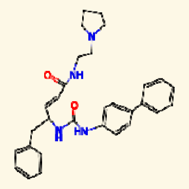 O=C(/C=C/C(Cc1ccccc1)NC(=O)Nc1ccc(-c2ccccc2)cc1)NCCN1CCCC1